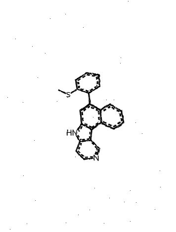 CSc1ccccc1-c1cc2[nH]c3ccncc3c2c2ccccc12